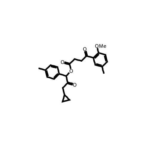 COc1ccc(C)cc1C(=O)CCC(=O)OC(C(=O)CC1CC1)c1ccc(C)cc1